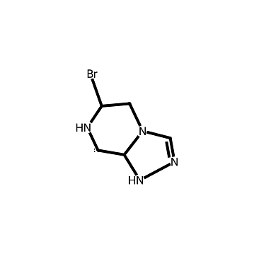 BrC1CN2C=NNC2[C]N1